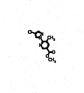 COC(=O)c1cnc(-n2cc(Cl)cn2)c(C)c1